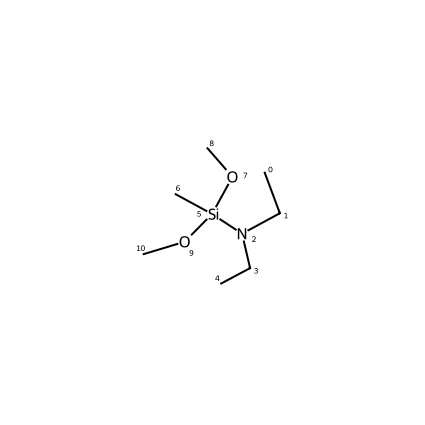 CCN(CC)[Si](C)(OC)OC